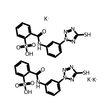 O=C(Nc1cccc(-n2nnc(S)n2)c1)c1ccccc1S(=O)(=O)O.O=C(Nc1cccc(-n2nnc(S)n2)c1)c1ccccc1S(=O)(=O)O.[K].[K].[K]